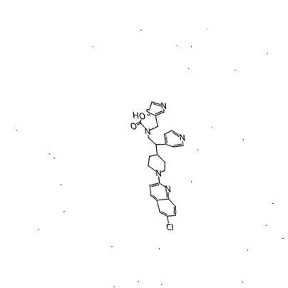 O=C(O)N(Cc1cncs1)CC(c1ccncc1)C1CCN(c2ccc3cc(Cl)ccc3n2)CC1